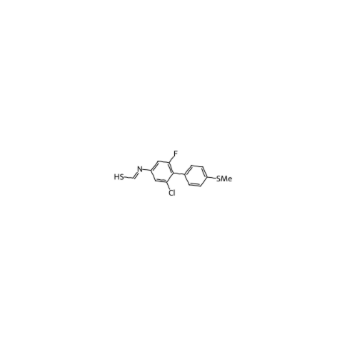 CSc1ccc(-c2c(F)cc(/N=C/S)cc2Cl)cc1